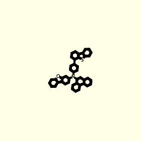 c1ccc2c(c1)cc(N(c1ccc(-c3cccc4c3sc3ccccc34)cc1)c1ccc3c(c1)oc1ccccc13)c1ccccc12